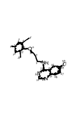 Cc1cc(C)c(OCCCNc2ncnc3ccc(Cl)cc23)c(C)c1